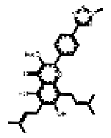 COc1c(-c2ccc(-c3nnn(C)n3)cc2)oc2c(CC=C(C)C)c(O)c(CC=C(C)C)c(O)c2c1=O